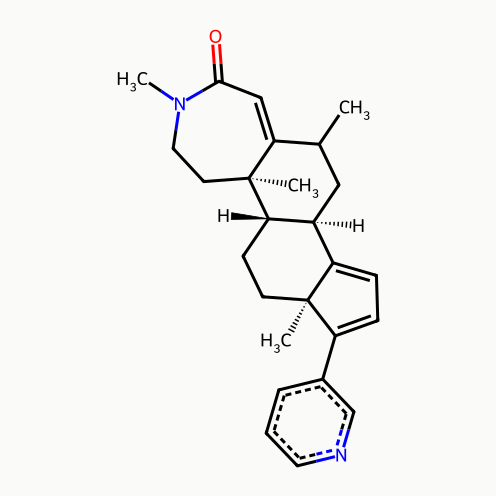 CC1C[C@H]2C3=CC=C(c4cccnc4)[C@@]3(C)CC[C@@H]2[C@@]2(C)CCN(C)C(=O)C=C12